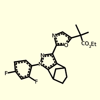 CCOC(=O)C(C)(C)c1cnc(-c2nn(-c3ccc(F)cc3F)c3c2C2CCC3C2)o1